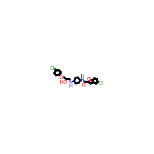 O=C(N[C@H]1CC[C@H](NCC(O)COc2ccc(Cl)cc2)CC1)c1cc2cc(Cl)ccc2o1